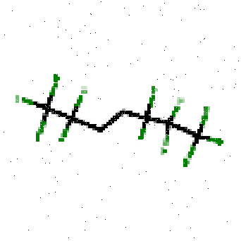 FC(F)(F)C(F)(F)CCC(F)(F)C(F)(F)C(F)(F)F